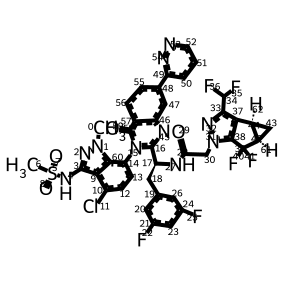 Cn1nc(NS(C)(=O)=O)c2c(Cl)ccc(-n3c([C@H](Cc4cc(F)cc(F)c4)NC(=O)Cn4nc(C(F)F)c5c4C(F)(F)[C@@H]4C[C@H]54)nc4cc(-c5cccnn5)ccc4c3=O)c21